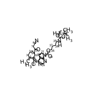 C[C@@H]1CCN(C(=O)CC#N)C[C@@H]1N(C)c1ncnc2c1ccn2C(=O)OCCCCNC(=O)OC(C)(C)C